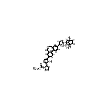 CC(C)(C)OC(=O)N1CCC[C@H]1c1ncc(-c2ccc3c(c2)COCc2cc(-c4cnc([C@@H]5C[C@H]6CC[C@H](C6)N5)[nH]4)ccc2-3)[nH]1